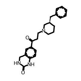 O=C1NCc2cc(C(=O)CCN3CCC[C@H](Cc4ccccc4)C3)ccc2N1